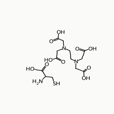 NC(CS)C(=O)O.O=C(O)CN(CCN(CC(=O)O)CC(=O)O)CC(=O)O